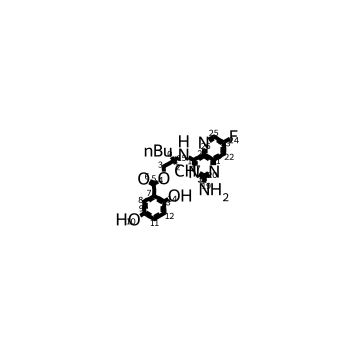 CCCCC(C)(COC(=O)c1cc(O)ccc1O)Nc1nc(N)nc2cc(F)cnc12